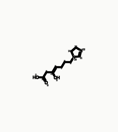 O=C(O)CC(O)=CCCCN1C=NCC1